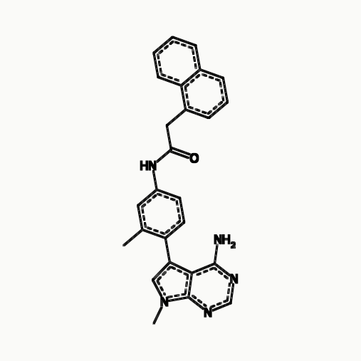 Cc1cc(NC(=O)Cc2cccc3ccccc23)ccc1-c1cn(C)c2ncnc(N)c12